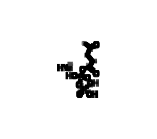 CC(=O)CCC(=O)OP(=O)(O)OP(=O)(O)O.[NaH]